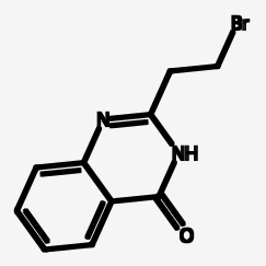 O=c1[nH]c(CCBr)nc2ccccc12